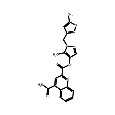 Cc1cc(Cn2ncc(NC(=O)c3cc(C(N)=O)c4ccccc4n3)c2C)no1